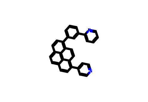 c1ccc(-c2cccc(-c3ccc4ccc5ccc(-c6ccncc6)c6ccc3c4c56)c2)nc1